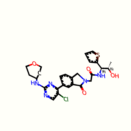 C[C@H](O)[C@@H](NC(=O)CN1Cc2ccc(-c3nc(NC4CCOCC4)ncc3Cl)cc2C1=O)c1cccs1